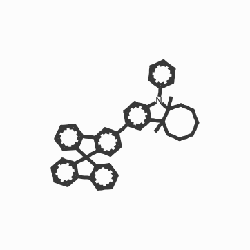 CC12CCCCCCC1(C)N(c1ccccc1)c1ccc(-c3ccc4c(c3)-c3ccccc3C43c4ccccc4-c4ccccc43)cc12